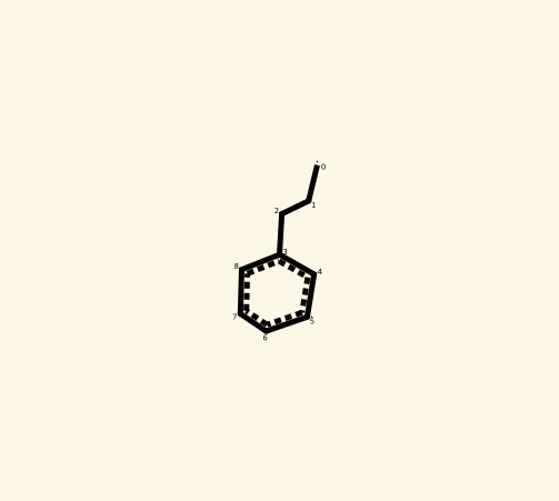 [CH2]CCc1c[c]ccc1